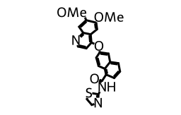 COc1cc2nccc(Oc3ccc4c(C(=O)NC5=NCCS5)cccc4c3)c2cc1OC